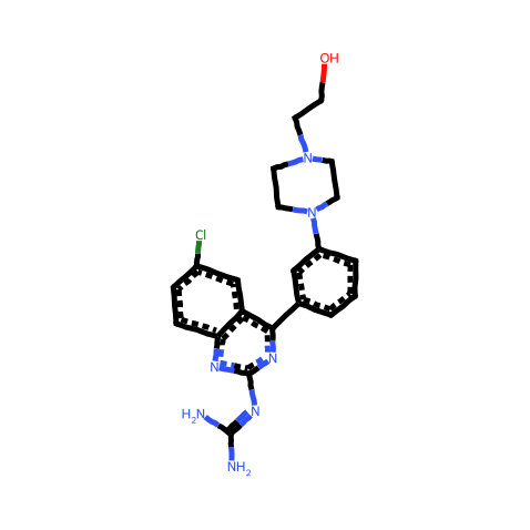 NC(N)=Nc1nc(-c2cccc(N3CCN(CCO)CC3)c2)c2cc(Cl)ccc2n1